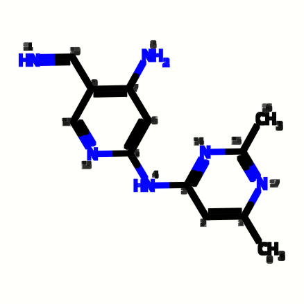 Cc1cc(Nc2cc(N)c(C=N)cn2)nc(C)n1